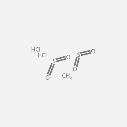 C.Cl.Cl.O=S=O.O=S=O